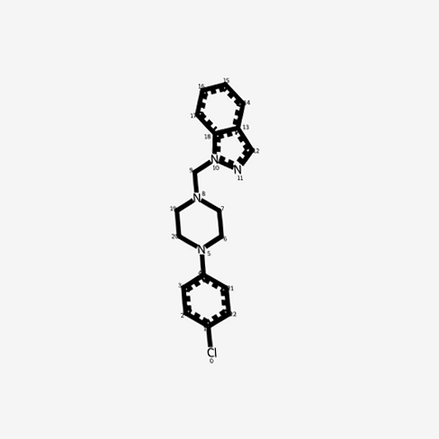 Clc1ccc(N2CCN(Cn3ncc4ccccc43)CC2)cc1